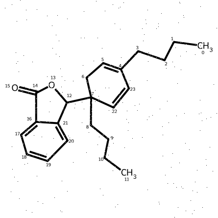 CCCCC1=CCC(CCCC)(C2OC(=O)c3ccccc32)C=C1